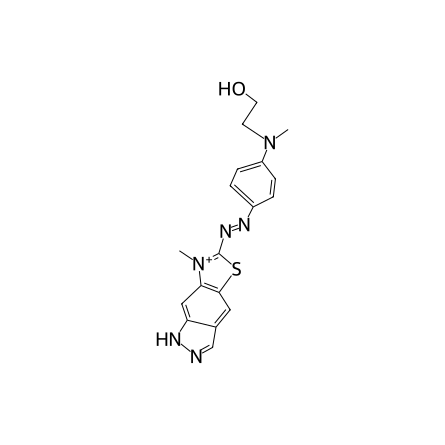 CN(CCO)c1ccc(/N=N/c2sc3cc4cn[nH]c4cc3[n+]2C)cc1